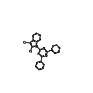 Clc1c(Cl)n(-c2nc(-c3ccccc3)nc(-c3ccccc3)n2)c2ccccc12